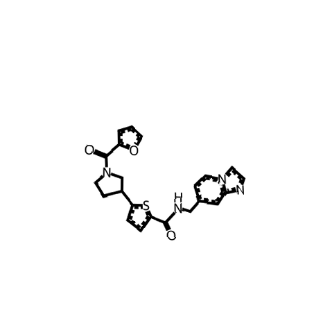 O=C(NCc1ccn2ccnc2c1)c1ccc(C2CCN(C(=O)c3ccco3)C2)s1